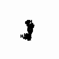 CC(NC(=O)c1ccc2nc(-c3ccccc3)c(CCCCC(=O)O)nc2c1)c1ccccc1F